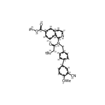 COc1ccc(-c2ccc(CN(C(=O)CC(C)(C)C)c3nccc4cc(C(=O)OC(C)C)ccc34)cc2)cc1C#N